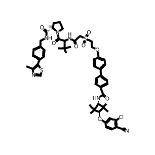 Cc1ncsc1-c1ccc(CNC(=O)[C@@H]2CCCN2C(=O)C(NC(=O)CS(=O)(=O)CCOc2ccc(-c3ccc(C(=O)N[C@H]4C(C)(C)[C@H](Oc5ccc(C#N)c(Cl)c5)C4(C)C)cc3)cc2)C(C)(C)C)cc1